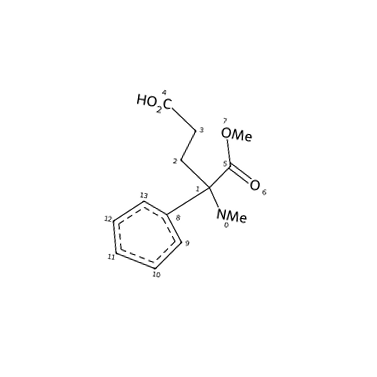 CNC(CCC(=O)O)(C(=O)OC)c1ccccc1